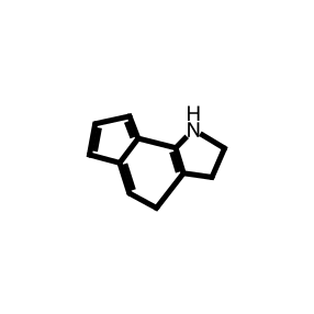 C1=CC2=CCC3=C(NCC3)C2=C1